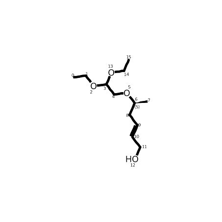 CCOC(CO[C@@H](C)CC=CCO)OCC